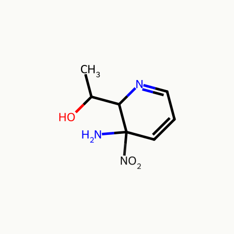 CC(O)C1N=CC=CC1(N)[N+](=O)[O-]